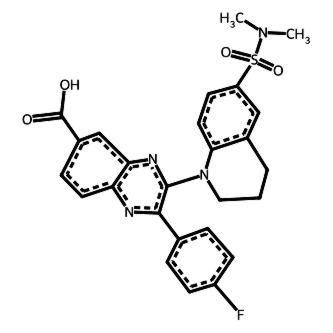 CN(C)S(=O)(=O)c1ccc2c(c1)CCCN2c1nc2cc(C(=O)O)ccc2nc1-c1ccc(F)cc1